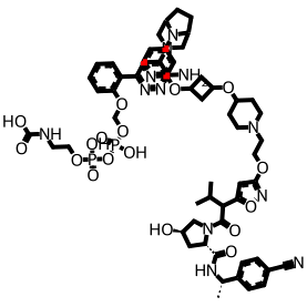 CC(C)C(C(=O)N1C[C@H](O)C[C@H]1C(=O)N[C@@H](C)c1ccc(C#N)cc1)c1cc(OCCN2CCC(OC3CC(Oc4cc(N5C6CCC5CN(c5cc(-c7ccccc7OCOP(=O)(O)OP(=O)(O)OCCNC(=O)O)nnc5N)C6)ccn4)C3)CC2)no1